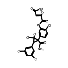 NC(=O)C1(c2ccc(Cl)c(NC(=O)c3cc(=O)[nH]o3)c2)C(c2cc(Cl)cc(Cl)c2)C1(Cl)Cl